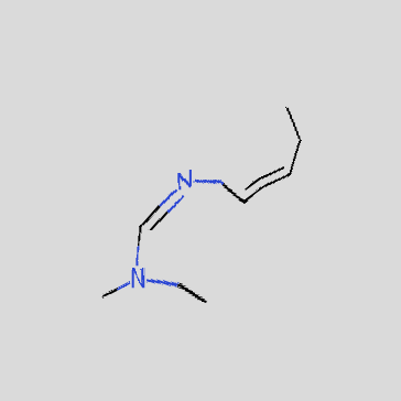 C/C=C\N=C/N(C)C